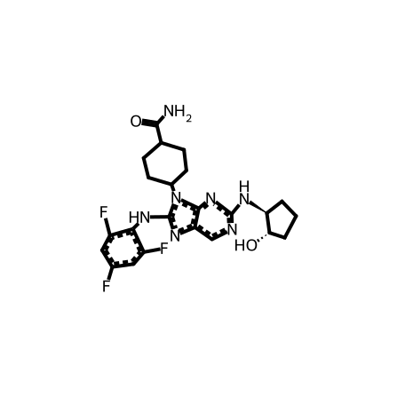 NC(=O)C1CCC(n2c(Nc3c(F)cc(F)cc3F)nc3cnc(N[C@H]4CCC[C@@H]4O)nc32)CC1